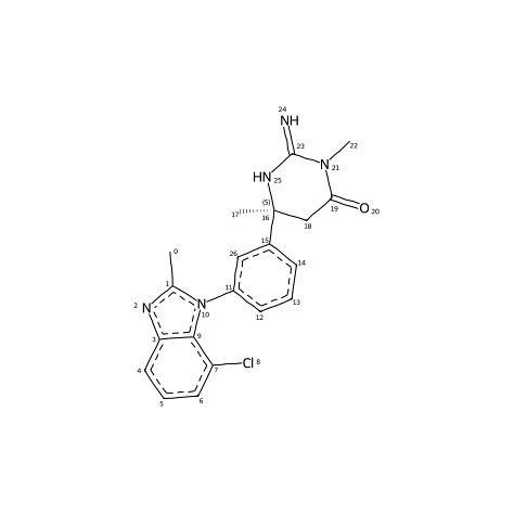 Cc1nc2cccc(Cl)c2n1-c1cccc([C@]2(C)CC(=O)N(C)C(=N)N2)c1